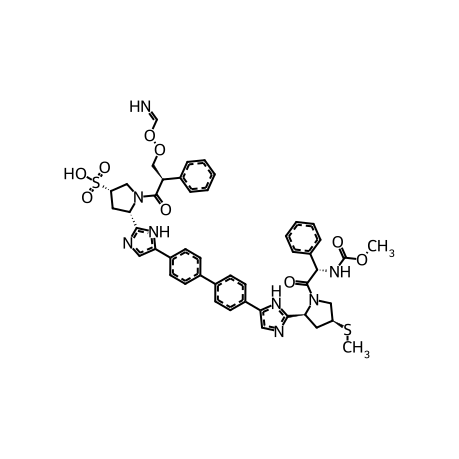 COC(=O)N[C@H](C(=O)N1C[C@@H](SC)C[C@H]1c1ncc(-c2ccc(-c3ccc(-c4cnc([C@@H]5C[C@H](S(=O)(=O)O)CN5C(=O)[C@@H](COOC=N)c5ccccc5)[nH]4)cc3)cc2)[nH]1)c1ccccc1